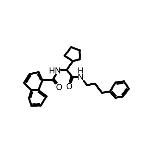 O=C(NC(C(=O)NCCCc1ccccc1)C1CCCC1)c1cccc2ccccc12